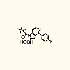 CC(C)(C)OC(=O)n1c(BO)cc2c(-c3ccc(F)cc3)nccc21